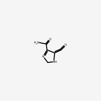 NC(=O)C1=NCNC1=C=O